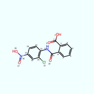 O=C(O)c1ccccc1C(=O)Nc1ccc([N+](=O)O)cc1Cl